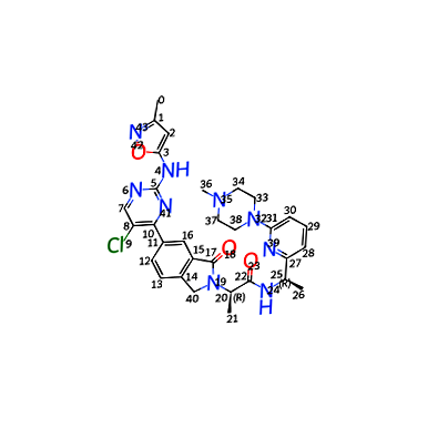 Cc1cc(Nc2ncc(Cl)c(-c3ccc4c(c3)C(=O)N([C@H](C)C(=O)N[C@H](C)c3cccc(N5CCN(C)CC5)n3)C4)n2)on1